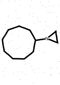 C1CCCCC(N2CC2)CCC1